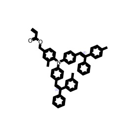 C=CC(=O)OCc1ccc(N(c2ccc(/C=C(/c3ccccc3)c3cccc(C)c3)cc2)c2ccc(/C=C(\c3ccccc3)c3ccc(C)cc3)cc2)c(C)c1